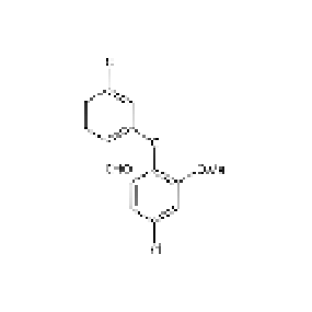 COc1cc(Cl)ccc1Oc1cc(Cl)ccc1C=O